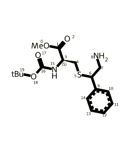 COC(=O)[C@@H](CSC(CN)c1ccccc1)NC(=O)OC(C)(C)C